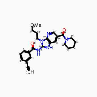 C#Cc1cccc(C(=O)NC2Nc3cc(C(=O)N4CCCCC4)cnc3N2CCCOC)c1